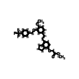 COC(=O)COc1ccc(SCc2ccc(OC)c(OCc3ccc(C(F)(F)F)cc3)c2)c2c1CCC2